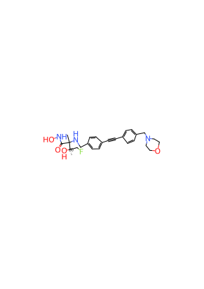 CC(NCc1ccc(C#Cc2ccc(CN3CCOCC3)cc2)cc1)(C(=O)NO)[C@](C)(O)CF